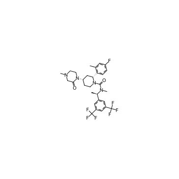 Cc1cc(F)ccc1[C@H]1C[C@@H](N2CCN(C)CC2=O)CCN1C(=O)N(C)[C@H](C)c1cc(C(F)(F)F)cc(C(F)(F)F)c1